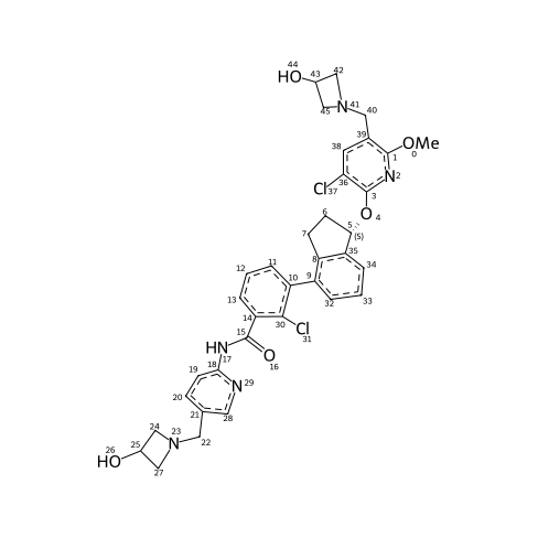 COc1nc(O[C@H]2CCc3c(-c4cccc(C(=O)Nc5ccc(CN6CC(O)C6)cn5)c4Cl)cccc32)c(Cl)cc1CN1CC(O)C1